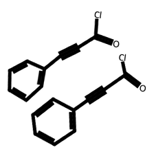 O=C(Cl)C#Cc1ccccc1.O=C(Cl)C#Cc1ccccc1